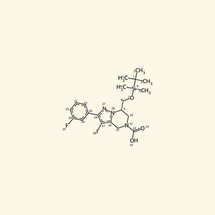 CC(C)(C)[Si](C)(C)OCC1CN(C(=O)O)Cc2c(I)c(-c3cccc(F)c3)nn21